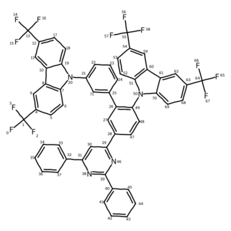 FC(F)(F)c1ccc2c(c1)c1cc(C(F)(F)F)ccc1n2-c1cccc(-c2cc(-c3cc(-c4ccccc4)nc(-c4ccccc4)n3)ccc2-n2c3ccc(C(F)(F)F)cc3c3cc(C(F)(F)F)ccc32)c1